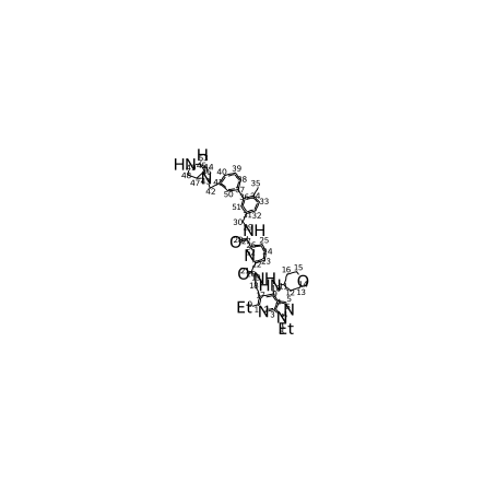 CCc1nc2c(cnn2CC)c(NC2CCOCC2)c1CNC(=O)c1cccc(C(=O)NCc2ccc(C)c(-c3cccc(CN4C[C@H]5CC4CN5)c3)c2)n1